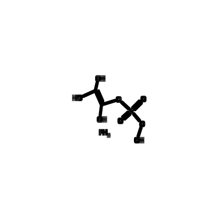 O=S(=O)(OO)OC(O)=C(O)O.P